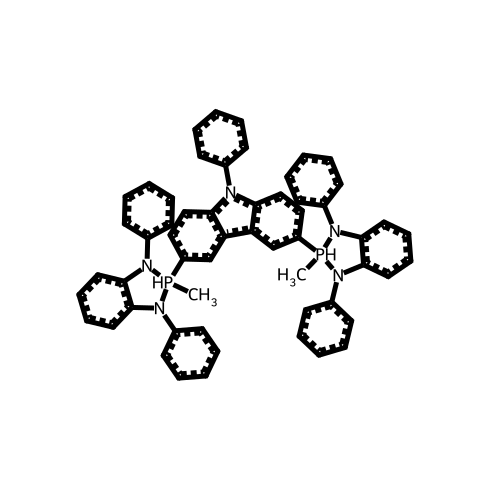 C[PH]1(c2ccc3c(c2)c2cc([PH]4(C)N(c5ccccc5)c5ccccc5N4c4ccccc4)ccc2n3-c2ccccc2)N(c2ccccc2)c2ccccc2N1c1ccccc1